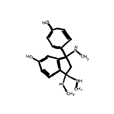 CNC1(NC)CC(NC)(c2ccc(O)cc2)c2cc(O)ccc21